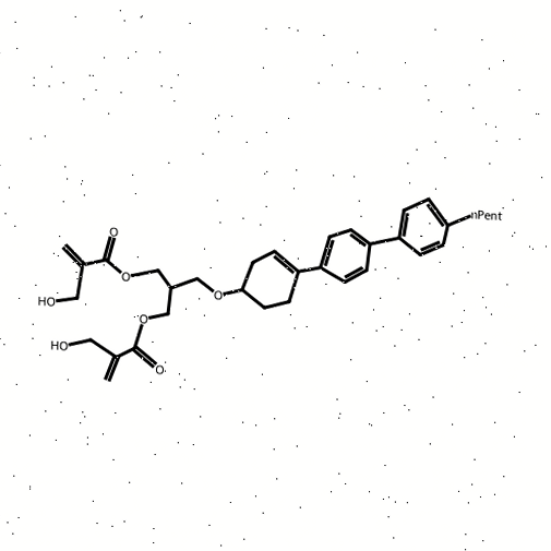 C=C(CO)C(=O)OCC(COC(=O)C(=C)CO)COC1CC=C(c2ccc(-c3ccc(CCCCC)cc3)cc2)CC1